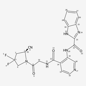 N#C[C@@H]1CC(F)(F)CN1C(=O)CNC(=O)c1ccncc1NC(=O)c1nc2ccccc2[nH]1